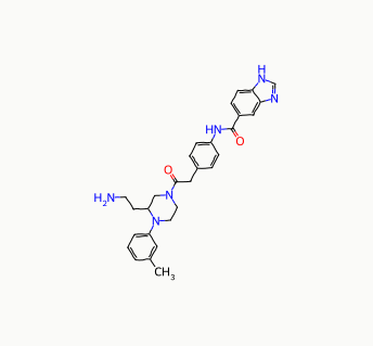 Cc1cccc(N2CCN(C(=O)Cc3ccc(NC(=O)c4ccc5[nH]cnc5c4)cc3)CC2CCN)c1